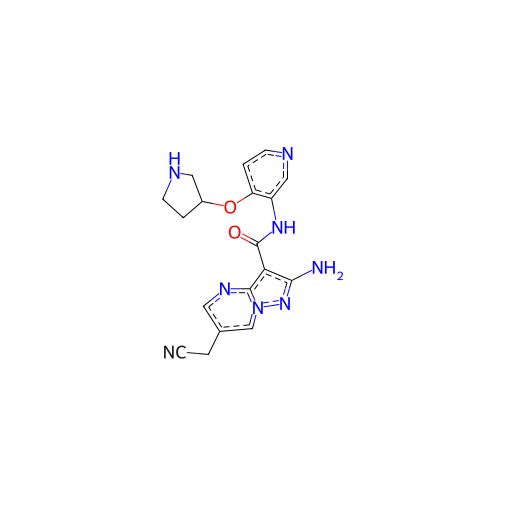 N#CCc1cnc2c(C(=O)Nc3cnccc3OC3CCNC3)c(N)nn2c1